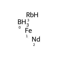 B.[Fe].[Nd].[RbH]